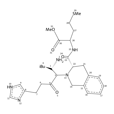 CC[C@H](C)[C@H](N)C(C(=O)CCc1c[nH]cn1)N1Cc2ccccc2C[C@H]1C(=O)NC(CCSC)C(=O)OC